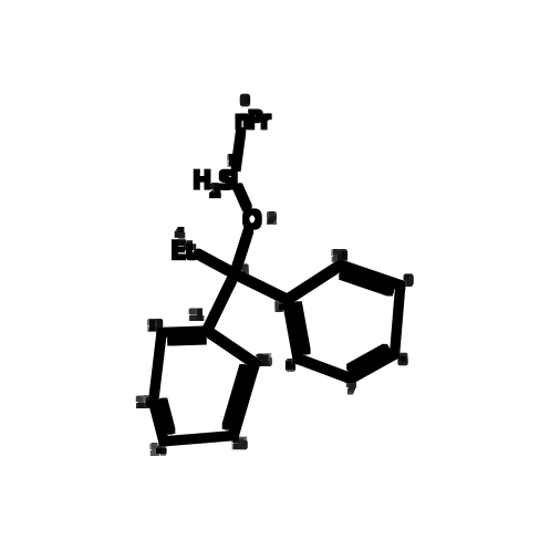 CCC[SiH2]OC(CC)(c1ccccc1)c1ccccc1